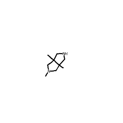 CN1CC2(C)CNCC2(C)C1